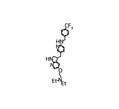 CCN(CC)CCOc1cnc2c(c1)C(Cc1ccc(NCc3ccc(C(F)(F)F)cc3)nc1)CN2